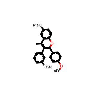 CCCOc1ccc(C2Oc3ccc(OC)cc3C(C)=C2c2cccc(OC)c2)cc1